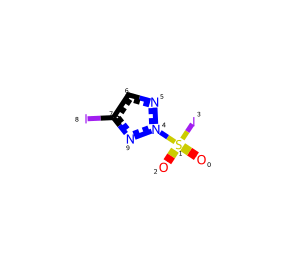 O=S(=O)(I)n1ncc(I)n1